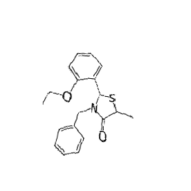 CCOc1ccccc1C1SC(C)C(=O)N1Cc1ccccc1